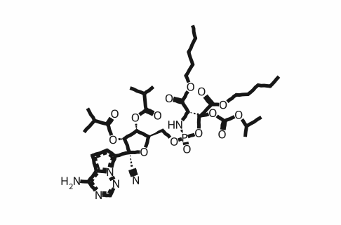 CCCCCOC(=O)C[C@H](N[P@@](=O)(OCOC(=O)OC(C)C)OC[C@H]1O[C@@](C#N)(c2ccc3c(N)ncnn23)[C@H](OC(=O)C(C)C)[C@@H]1OC(=O)C(C)C)C(=O)OCCCCC